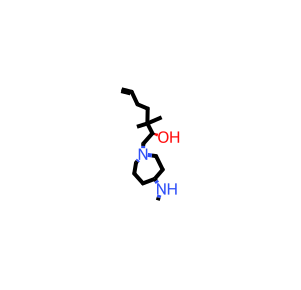 C=CCCC(C)(C)[C@@H](O)CN1CCCC(NC)CC1